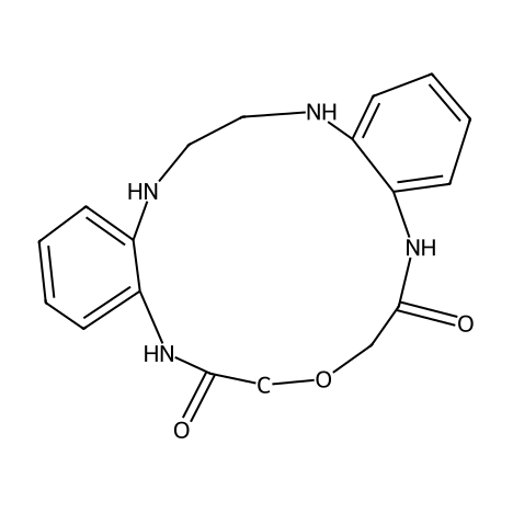 O=C1COCC(=O)Nc2ccccc2NCCNc2ccccc2N1